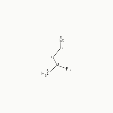 CCCCC(C)F